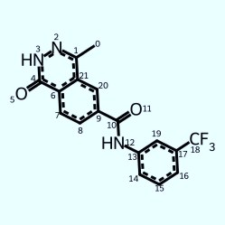 Cc1n[nH]c(=O)c2ccc(C(=O)Nc3cccc(C(F)(F)F)c3)cc12